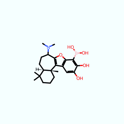 CN(C)C1CC[C@@H]2C(C)(C)CCC[C@@]2(C)c2c1oc1c(B(O)O)c(O)c(O)cc21